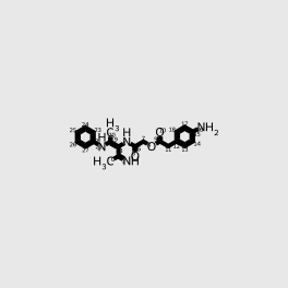 CC(=N)/C(NC(=O)COC(=O)Cc1ccc(N)cc1)=C(/C)Nc1ccccc1